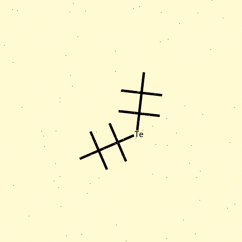 CC(C)(C)C(C)(C)[Te]C(C)(C)C(C)(C)C